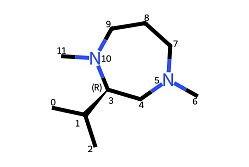 CC(C)[C@@H]1CN(C)CCCN1C